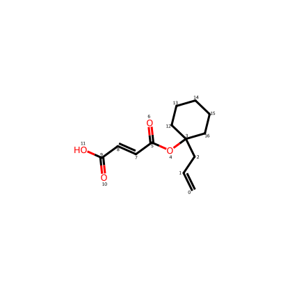 C=CCC1(OC(=O)C=CC(=O)O)CCCCC1